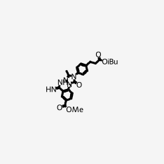 COC(=O)c1ccc(-n2nc(C)n(-c3ccc(CCC(=O)OCC(C)C)cc3)c2=O)c(C(=N)N)c1